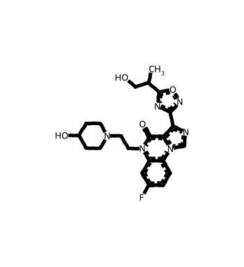 CC(CO)c1nc(-c2ncn3c2c(=O)n(CCN2CCC(O)CC2)c2cc(F)ccc23)no1